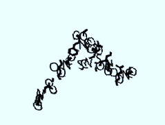 CC(C)(C)OC(=O)CCN=C=S.CCCC(N=C=O)C(=S)OCC.CCOC(=O)C(C)N=C=O.CCOC(=O)C(Cc1ccccc1)N=C=O.CCOC(=O)C(N=C=O)C(C)C.CCOC(=O)CCN=C=O